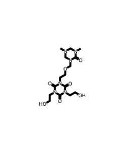 CN1CN(C)C(=O)N(COCCn2c(=O)n(CCO)c(=O)n(CCO)c2=O)C1